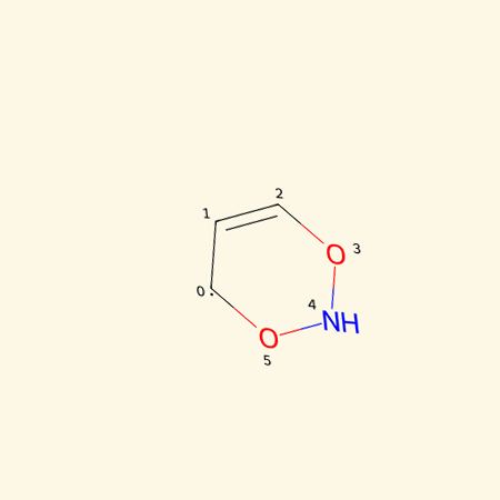 [CH]1C=CONO1